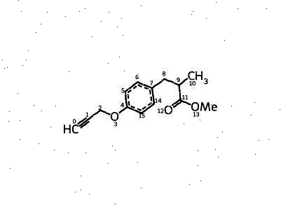 C#CCOc1ccc(CC(C)C(=O)OC)cc1